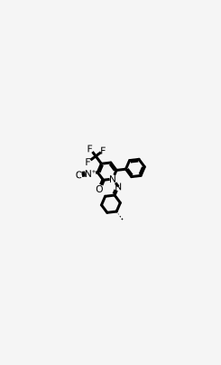 [C-]#[N+]c1c(C(F)(F)F)cc(-c2ccccc2)n(/N=C2\CCC[C@@H](C)C2)c1=O